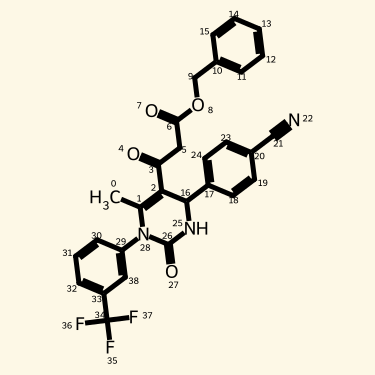 CC1=C(C(=O)CC(=O)OCc2ccccc2)C(c2ccc(C#N)cc2)NC(=O)N1c1cccc(C(F)(F)F)c1